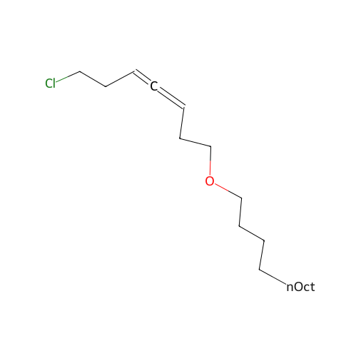 CCCCCCCCCCCCOCCC=C=CCCCl